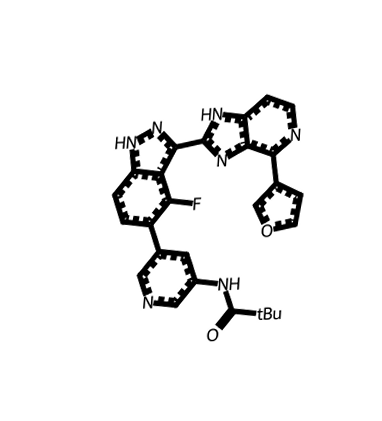 CC(C)(C)C(=O)Nc1cncc(-c2ccc3[nH]nc(-c4nc5c(-c6ccoc6)nccc5[nH]4)c3c2F)c1